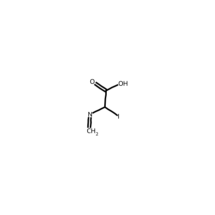 C=NC(I)C(=O)O